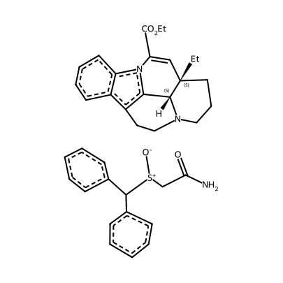 CCOC(=O)C1=C[C@]2(CC)CCCN3CCc4c(n1c1ccccc41)[C@@H]32.NC(=O)C[S+]([O-])C(c1ccccc1)c1ccccc1